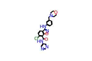 O=C(Nc1cncnc1)c1c(Cl)ccc2c(Nc3cccc(CN4CCOCC4)c3)noc12